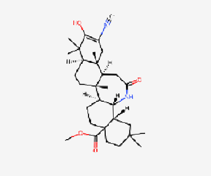 [C-]#[N+]C1=C(O)C(C)(C)[C@@H]2CC[C@]3(C)[C@H](CC(=O)N[C@H]4[C@H]3CCC3(C(=O)OC)CCC(C)(C)C[C@@H]43)[C@@]2(C)C1